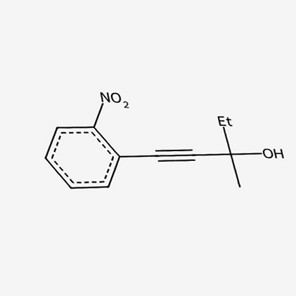 CCC(C)(O)C#Cc1ccccc1[N+](=O)[O-]